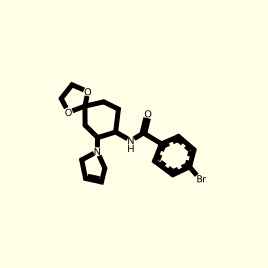 O=C(NC1CCC2(CC1N1CC=CC1)OCCO2)c1ccc(Br)cc1